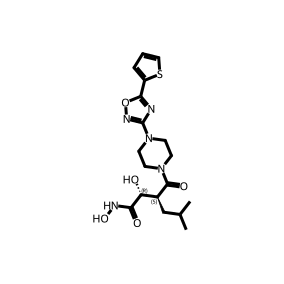 CC(C)C[C@H](C(=O)N1CCN(c2noc(-c3cccs3)n2)CC1)[C@@H](O)C(=O)NO